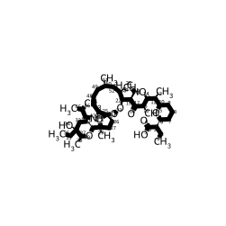 CCC(C(=O)O)[C@H]1CCCC([C@@H](C)[C@H](O)[C@H](C)C(=O)[C@H](CC)[C@H]2OO[C@@]3(CC[C@@](C)([C@H]4CC[C@](O)(CC)[C@H](C)O4)O3)[C@H](NCC(C)C)CCC[C@H](C)C[C@@H]2C)O1